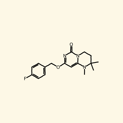 CN1c2cc(OCc3ccc(F)cc3)nc(=O)n2CCC1(C)C